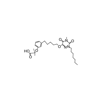 CCCCCCCn1nc(OCCCCCc2cccc(OC(C)(C)C(=O)O)c2)c(=O)n(C)c1=O